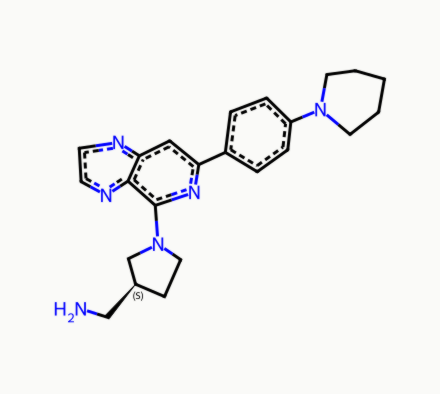 NC[C@@H]1CCN(c2nc(-c3ccc(N4CCCCC4)cc3)cc3nccnc23)C1